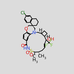 C[C@@H]1[C@@H](C)C/C=C/[C@](O)(C(F)(F)F)[C@@H]2CC[C@H]2CN2C[C@@]3(CCCc4cc(Cl)ccc43)COc3ccc(cc32)C(=O)NS1(=O)=O